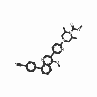 COC(=O)N1C(C)CN(c2ccc(-c3cnc4c(-c5ccc(C#N)cc5)cccc4c3OC)cn2)CC1C